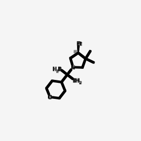 BC(B)(C1CCOCC1)N1C[C@@H](CC)C(C)(C)C1